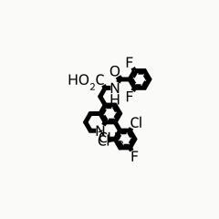 CN1CCCc2c(CC(NC(=O)c3c(F)cccc3F)C(=O)O)ccc(-c3c(Cl)cc(F)cc3Cl)c21